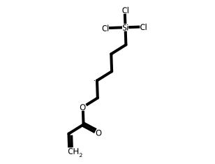 C=CC(=O)OC[CH]CCC[Si](Cl)(Cl)Cl